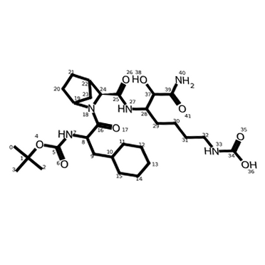 CC(C)(C)OC(=O)NC(CC1CCCCC1)C(=O)N1C2CCC(C2)[C@H]1C(=O)NC(CCCCNC(=O)O)C(O)C(N)=O